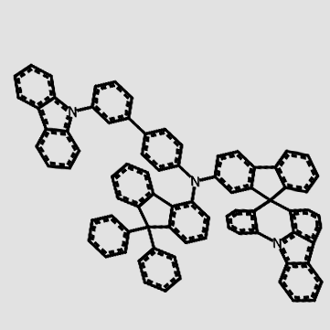 c1ccc(C2(c3ccccc3)c3ccccc3-c3c(N(c4ccc(-c5cccc(-n6c7ccccc7c7ccccc76)c5)cc4)c4ccc5c(c4)C4(c6ccccc6-5)c5ccccc5-n5c6ccccc6c6cccc4c65)cccc32)cc1